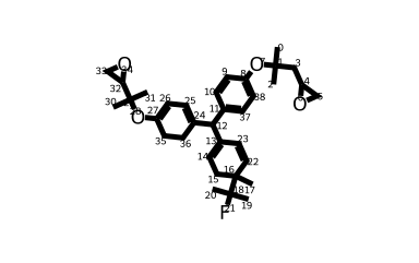 CC(C)(CC1CO1)Oc1ccc(C(C2=CCC(C)(C(C)(C)F)C=C2)C2=CC=C(OC(C)(C)C3CO3)CC2)cc1